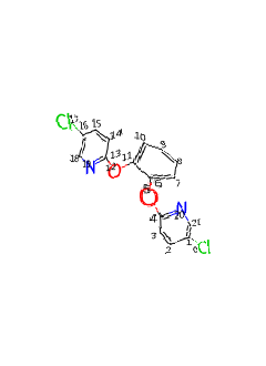 Clc1ccc(Oc2ccccc2Oc2ccc(Cl)cn2)nc1